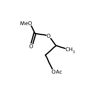 COC(=O)OC(C)COC(C)=O